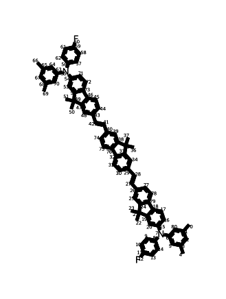 Cc1cc(C)cc(N(c2ccc(F)cc2)c2ccc3c(c2)C(C)(C)c2cc(/C=C/c4ccc5c(c4)C(C)(C)c4cc(/C=C/c6ccc7c(c6)C(C)(C)c6cc(N(c8ccc(F)cc8)c8cc(C)cc(C)c8)ccc6-7)ccc4-5)ccc2-3)c1